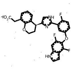 O=C(O)Cc1cccc2c1OCC[C@@H]2c1c[nH]c(-c2cc(Oc3c(F)cc4[nH]ccc4c3F)ccc2F)n1